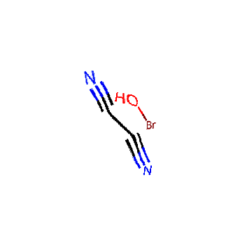 N#CC#N.OBr